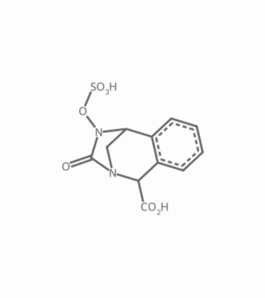 O=C(O)C1c2ccccc2C2CN1C(=O)N2OS(=O)(=O)O